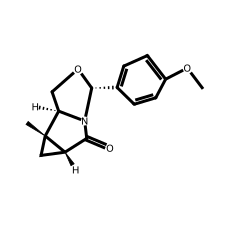 COc1ccc([C@H]2OC[C@H]3N2C(=O)[C@@H]2C[C@@]23C)cc1